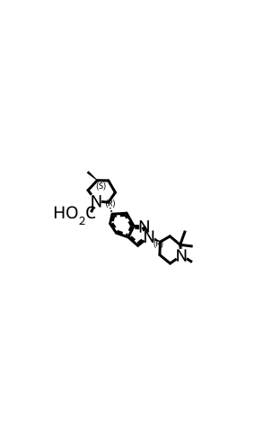 C[C@H]1CC[C@H](c2ccc3cn([C@@H]4CCN(C)C(C)(C)C4)nc3c2)N(C(=O)O)C1